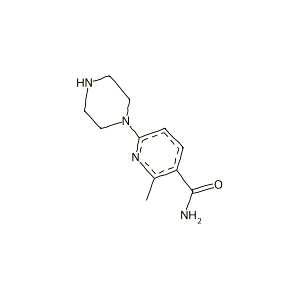 Cc1nc(N2CCNCC2)ccc1C(N)=O